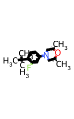 C[C@@H]1CN(c2ccc(C(C)(C)C)c(F)c2)C[C@H](C)O1